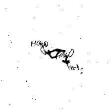 CC(C)(N)C(=O)NCC1CCC(O[N+](=O)O)CC1